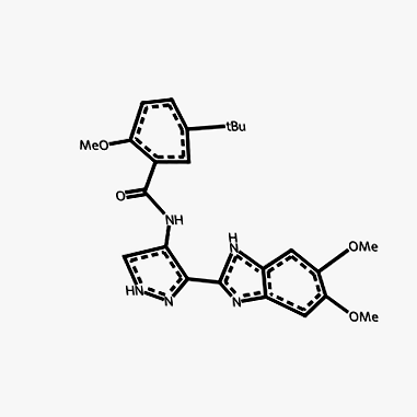 COc1cc2nc(-c3n[nH]cc3NC(=O)c3cc(C(C)(C)C)ccc3OC)[nH]c2cc1OC